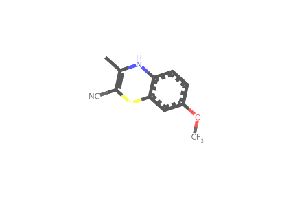 CC1=C(C#N)Sc2cc(OC(F)(F)F)ccc2N1